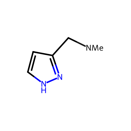 [CH2-][NH2+]Cc1cc[nH]n1